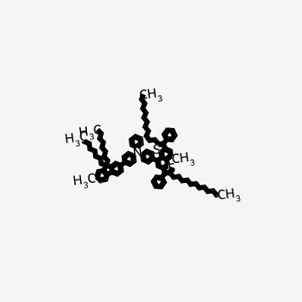 CCCCCCCCCCCCc1sc2c(cc(-c3ccc(N(c4ccccc4)c4ccc(-c5ccc6c(c5)C(CCCCCCCC)(CCCCCCCC)c5cc(C)ccc5-6)cc4)cc3)c3c4sc(CCCCCCCCCCCC)c(-c5ccccc5)c4cc(C)c23)c1-c1ccccc1